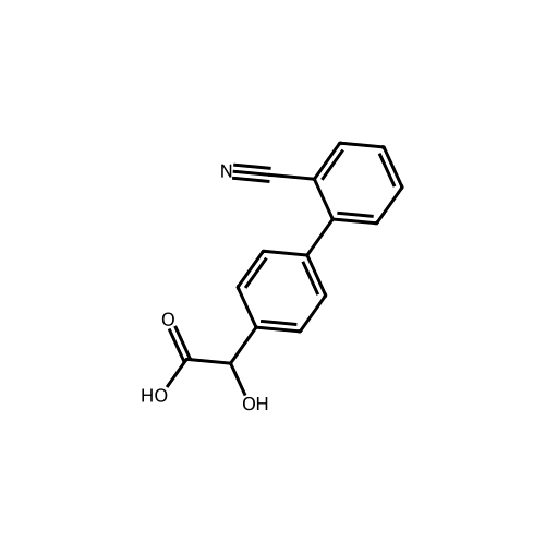 N#Cc1ccccc1-c1ccc(C(O)C(=O)O)cc1